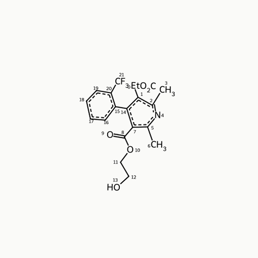 CCOC(=O)c1c(C)nc(C)c(C(=O)OCCO)c1-c1ccccc1C(F)(F)F